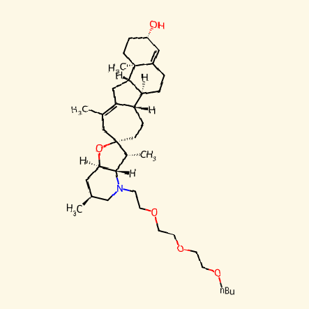 CCCCOCCOCCOCCN1C[C@@H](C)C[C@H]2O[C@]3(CC[C@@H]4C(=C(C)C3)C[C@H]3[C@H]4CCC4=C[C@@H](O)CC[C@@]43C)[C@H](C)[C@@H]21